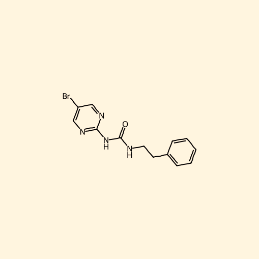 O=C(NCCc1ccccc1)Nc1ncc(Br)cn1